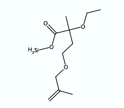 C=C(C)COCCC(C)(OCC)C(=O)O[SiH3]